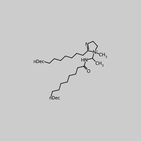 CCCCCCCCCCCCCCCCCC(=O)NC(C)[N+]1(C)CCN=C1CCCCCCCCCCCCCCCCC